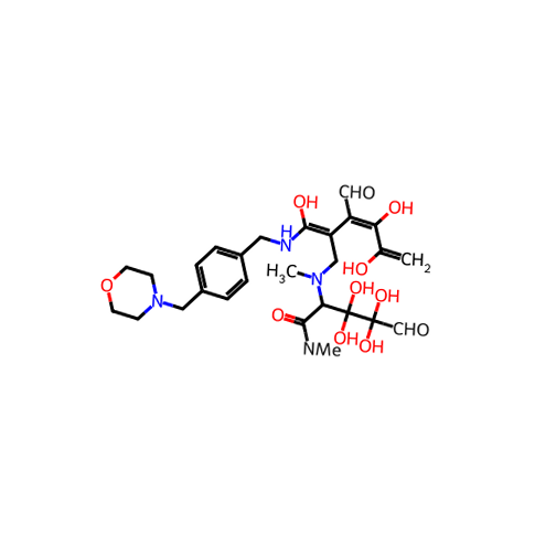 C=C(O)/C(O)=C(C=O)\C(CN(C)C(C(=O)NC)C(O)(O)C(O)(O)C=O)=C(/O)NCc1ccc(CN2CCOCC2)cc1